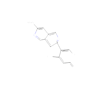 C=C/C=C(C)\C(=C/C)c1cc2cnc(NC)cc2cn1